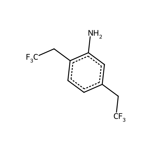 Nc1cc(CC(F)(F)F)ccc1CC(F)(F)F